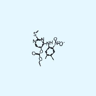 CCOC(=O)Oc1cnc(SC)nc1Nc1cc(C)c(C)cc1[N+](=O)[O-]